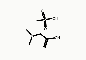 CN(C)CC(=O)O.CS(=O)(=O)O